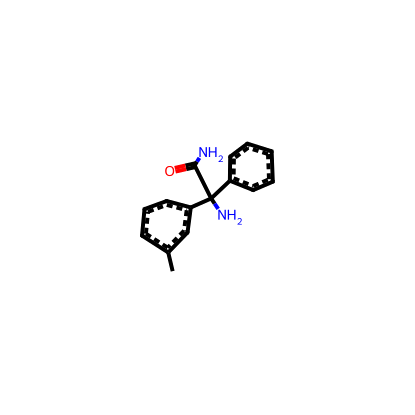 Cc1cccc(C(N)(C(N)=O)c2ccccc2)c1